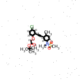 Cc1ccc(N(C)S(C)(=O)=O)cc1C#Cc1cc(Cl)ccc1OCC(=O)OC(C)(C)C